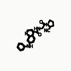 N#CC1CCCN1C(=O)CNC(=O)c1ccnc2cc(Nc3ccccc3)ccc12